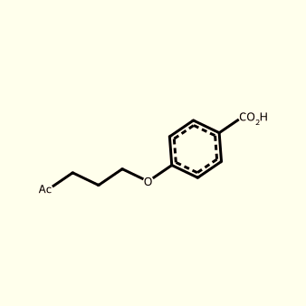 CC(=O)CCCOc1ccc(C(=O)O)cc1